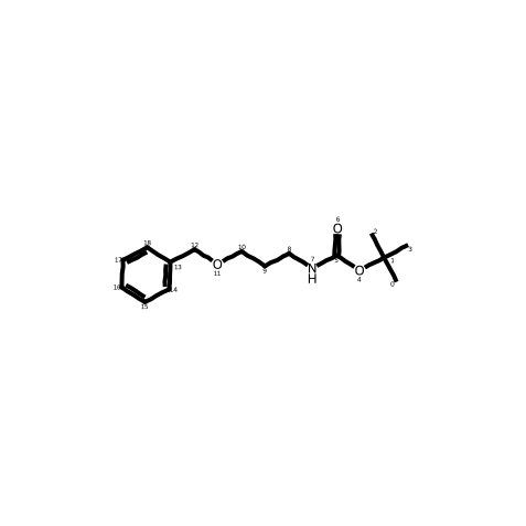 CC(C)(C)OC(=O)NCCCOCc1ccccc1